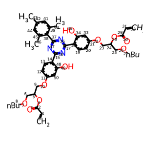 C=CC(=O)OC(COCCCC)COc1ccc(-c2nc(-c3ccc(OCC(COCCCC)OC(=O)C=C)cc3O)nc(-c3c(C)cc(C)cc3C)n2)c(O)c1